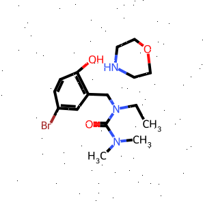 C1COCCN1.CCN(Cc1cc(Br)ccc1O)C(=O)N(C)C